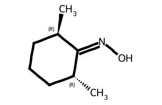 C[C@@H]1CCC[C@@H](C)C1=NO